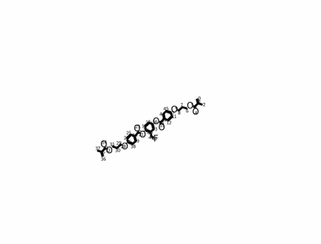 C=C(C)C(=O)OCCCOc1ccc(C(=O)Oc2ccc(OC(=O)c3ccc(OCCCOC(=O)C(=C)C)cc3)c(CF)c2)cc1